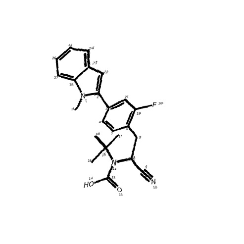 Cn1c(-c2ccc(CC(C#N)N(C(=O)O)C(C)(C)C)c(F)c2)cc2ccccc21